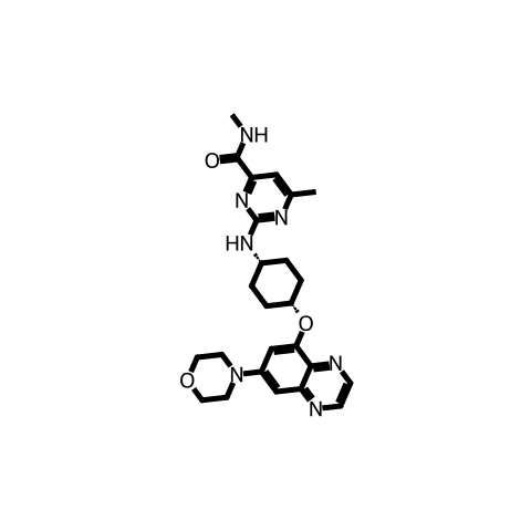 CNC(=O)c1cc(C)nc(N[C@H]2CC[C@@H](Oc3cc(N4CCOCC4)cc4nccnc34)CC2)n1